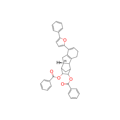 O=C(OC1C2CC(C1OC(=O)c1ccccc1)[C@@H]1CC3=C(CCC=C3c3ccc(-c4ccccc4)o3)C21)c1ccccc1